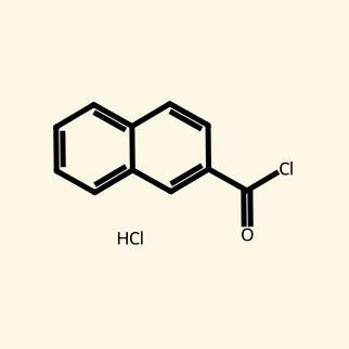 Cl.O=C(Cl)c1ccc2ccccc2c1